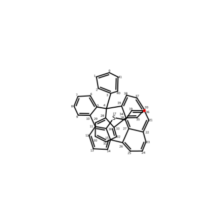 c1ccc(C2(c3ccccc3-c3cccc4c3Sc3cccc5cccc-4c35)c3ccccc3-c3ccccc32)cc1